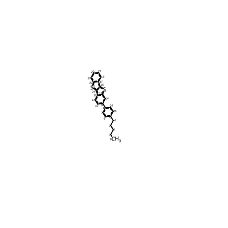 CCCCCc1ccc(-c2ccc3c(c2)sc2c4ccccc4sc32)cc1